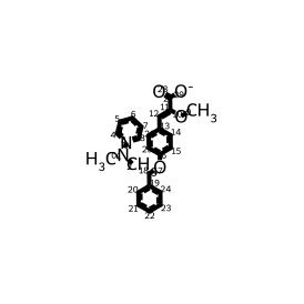 CN(C)[n+]1ccccc1.COC(=Cc1ccc(OCc2ccccc2)cc1)C(=O)[O-]